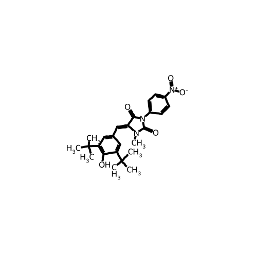 CN1C(=O)N(c2ccc([N+](=O)[O-])cc2)C(=O)/C1=C/c1cc(C(C)(C)C)c(O)c(C(C)(C)C)c1